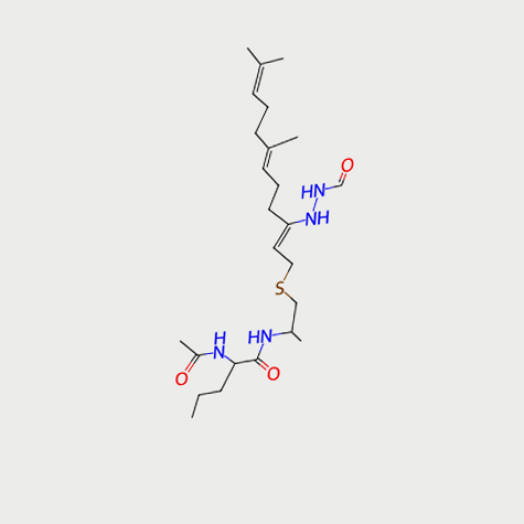 CCCC(NC(C)=O)C(=O)NC(C)CSC/C=C(/CC/C=C(\C)CCC=C(C)C)NNC=O